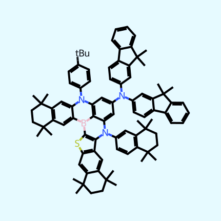 CC(C)(C)c1ccc(N2c3cc4c(cc3B3c5sc6cc7c(cc6c5N(c5ccc6c(c5)C(C)(C)CCC6(C)C)c5cc(N(c6ccc8c(c6)C(C)(C)c6ccccc6-8)c6ccc8c(c6)C(C)(C)c6ccccc6-8)cc2c53)C(C)(C)CCC7(C)C)C(C)(C)CCC4(C)C)cc1